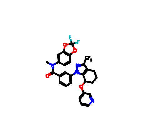 CN(C(=O)c1cccc(-n2nc(C(F)(F)F)c3c2C(Oc2cccnc2)CCC3)c1)c1ccc2c(c1)OC(F)(F)O2